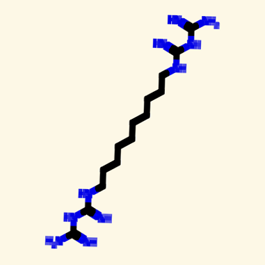 N=C(N)NC(=N)NCCCCCCCCCCNC(=N)NC(=N)N